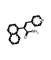 NC(=O)C(=Cc1ccncc1)c1cccc2ccccc12